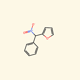 O=[N+]([O-])C(c1ccccc1)c1ccco1